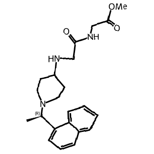 COC(=O)CNC(=O)CNC1CCN([C@H](C)c2cccc3ccccc23)CC1